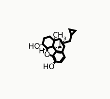 C[C@@]12CC[C@@H](O)[C@@H]3Oc4c(O)ccc5c4[C@@]31CCN(CC1CC1)C2C5